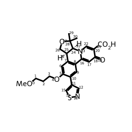 COCCCOc1cc2c(cc1-c1cnsc1)-c1cc(=O)c(C(=O)O)cn1[C@H]1[C@@H]2COC1(C)C